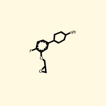 CCCC1CCC(c2ccc(F)c(OCC3CO3)c2)CC1